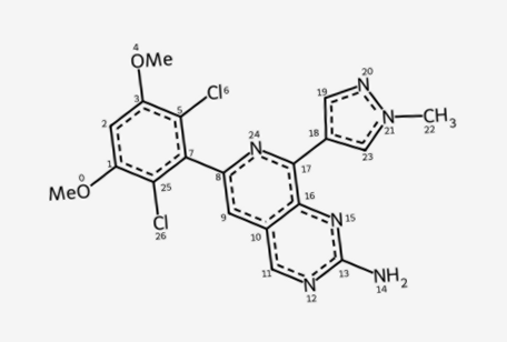 COc1cc(OC)c(Cl)c(-c2cc3cnc(N)nc3c(-c3cnn(C)c3)n2)c1Cl